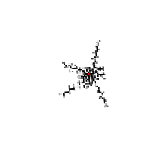 CCCCCCCCCC(=O)n1c(=O)c(C)cn([C@]2(C(=O)CCCCCCCCC)O[C@H](CO)[C@@H](O)C2(C(=O)CCCCCCCCC)C(=O)CCCCCCCCC)c1=O